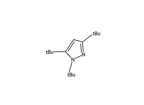 CC(C)(C)c1cc(C(C)(C)C)n(C(C)(C)C)n1